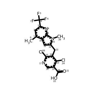 Cc1cc(C(F)(F)F)nc2c1cc(Cc1c(Cl)ncc(C(=O)O)c1Cl)n2C